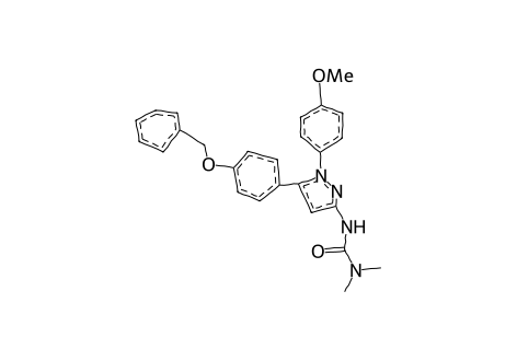 COc1ccc(-n2nc(NC(=O)N(C)C)cc2-c2ccc(OCc3ccccc3)cc2)cc1